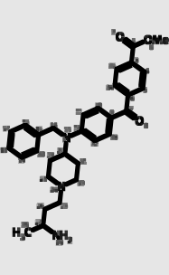 COC(=O)c1ccc(C(=O)c2ccc(N(Cc3ccccc3)C3CCN(CCC(C)N)CC3)cc2)cc1